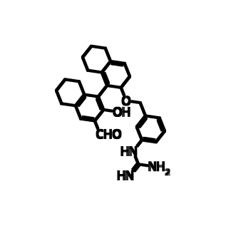 N=C(N)Nc1cccc(COC2CC=C3CCCCC3=C2c2c(O)c(C=O)cc3c2CCCC3)c1